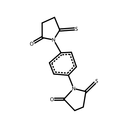 O=C1CCC(=S)N1c1ccc(N2C(=O)CCC2=S)cc1